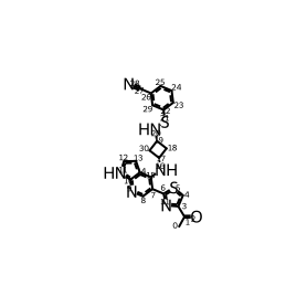 CC(=O)c1csc(-c2cnc3[nH]ccc3c2N[C@H]2C[C@H](NSc3cccc(C#N)c3)C2)n1